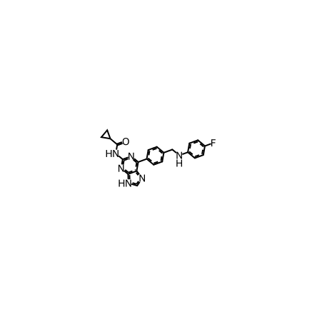 O=C(Nc1nc(-c2ccc(CNc3ccc(F)cc3)cc2)c2nc[nH]c2n1)C1CC1